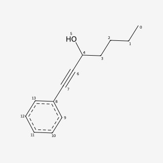 CCCCC(O)C#Cc1ccccc1